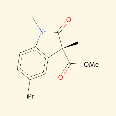 COC(=O)[C@@]1(C)C(=O)N(C)c2ccc(C(C)C)cc21